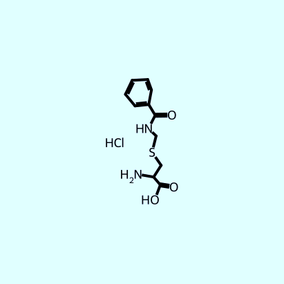 Cl.NC(CSCNC(=O)c1ccccc1)C(=O)O